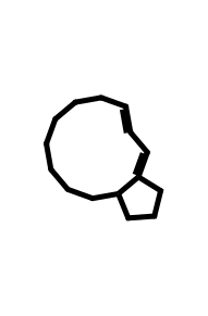 C1=C2/CCCC2CCCCCCC/C=C/1